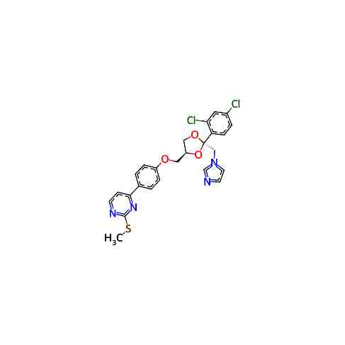 CSc1nccc(-c2ccc(OC[C@H]3CO[C@@](Cn4ccnc4)(c4ccc(Cl)cc4Cl)O3)cc2)n1